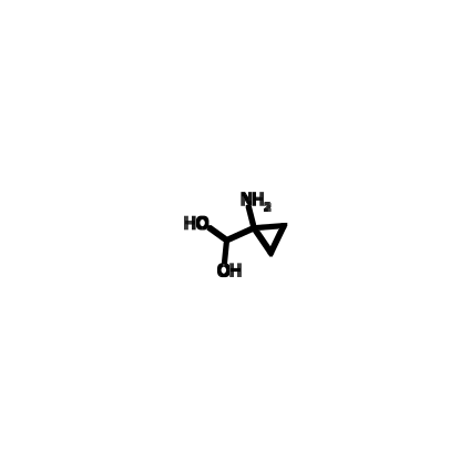 NC1(C(O)O)CC1